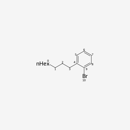 [CH2]CCCCCCCCc1ccccc1Br